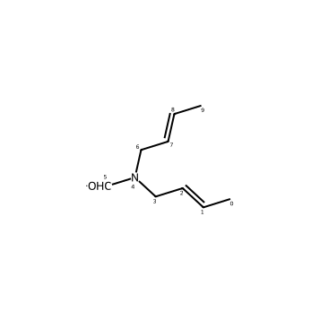 CC=CCN([C]=O)CC=CC